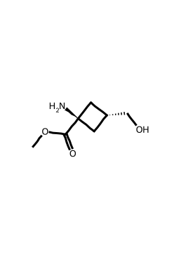 COC(=O)[C@]1(N)C[C@H](CO)C1